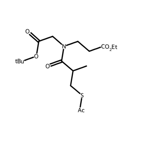 CCOC(=O)CCN(CC(=O)OC(C)(C)C)C(=O)C(C)CSC(C)=O